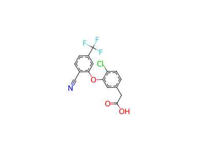 N#Cc1ccc(C(F)(F)F)cc1Oc1cc(CC(=O)O)ccc1Cl